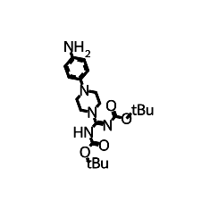 CC(C)(C)OC(=O)/N=C(/NC(=O)OC(C)(C)C)N1CCN(c2ccc(N)cc2)CC1